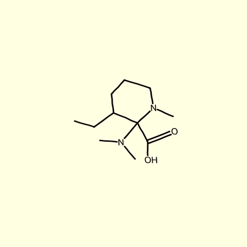 CCC1CCCN(C)C1(C(=O)O)N(C)C